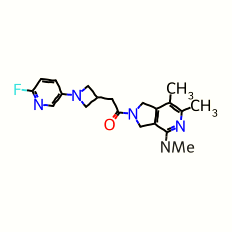 CNc1nc(C)c(C)c2c1CN(C(=O)CC1CN(c3ccc(F)nc3)C1)C2